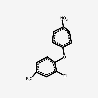 O=[N+]([O-])c1ccc(Oc2ccc(C(F)(F)F)cc2Cl)cc1